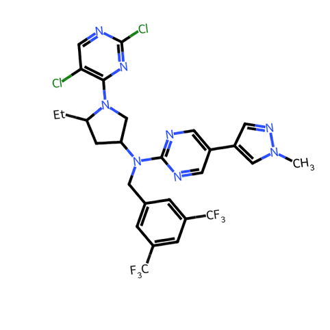 CCC1CC(N(Cc2cc(C(F)(F)F)cc(C(F)(F)F)c2)c2ncc(-c3cnn(C)c3)cn2)CN1c1nc(Cl)ncc1Cl